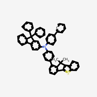 CC1(C)c2c(-c3ccc(N(c4ccc(-c5ccccc5)cc4)c4ccc5c(c4)C(c4ccccc4)(c4ccccc4)c4ccccc4-5)cc3)cccc2-c2sc3ccccc3c21